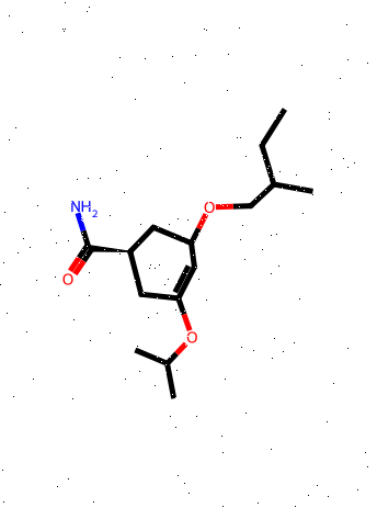 CCC(C)COC1C=C(OC(C)C)C[C@@H](C(N)=O)C1